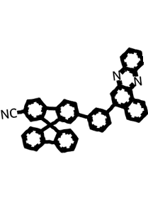 N#Cc1ccc2c(c1)C1(c3ccccc3-c3ccccc31)c1cc(-c3cccc(-c4cc5nc6ccccc6nc5c5ccccc45)c3)ccc1-2